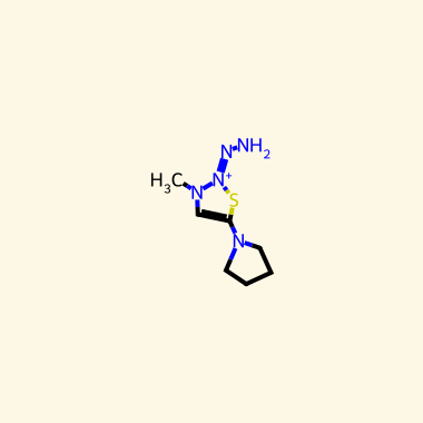 CN1C=C(N2CCCC2)S[N+]1=NN